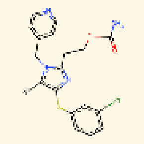 CC(C)c1c(Sc2cccc(Cl)c2)nc(CCOC(N)=O)n1Cc1ccncc1